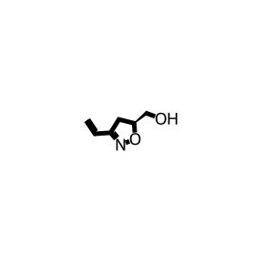 C=CC1=NO[C@H](CO)C1